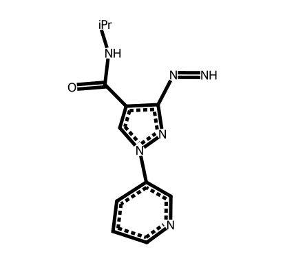 CC(C)NC(=O)c1cn(-c2cccnc2)nc1N=N